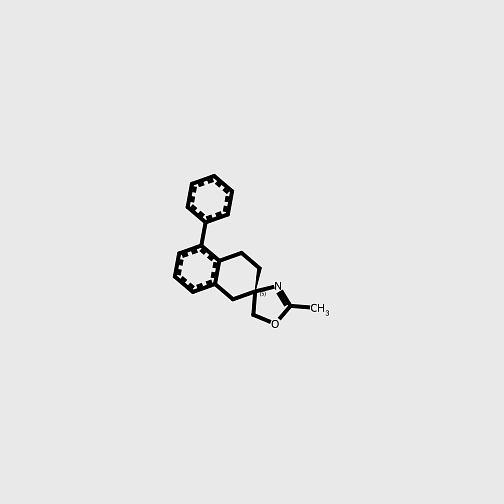 CC1=N[C@]2(CCc3c(cccc3-c3ccccc3)C2)CO1